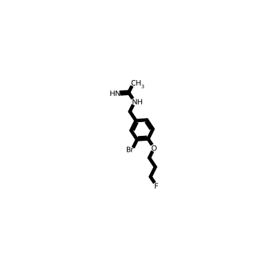 CC(=N)NCc1ccc(OCCCF)c(Br)c1